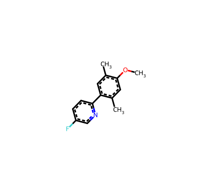 COc1cc(C)c(-c2ccc(F)cn2)cc1C